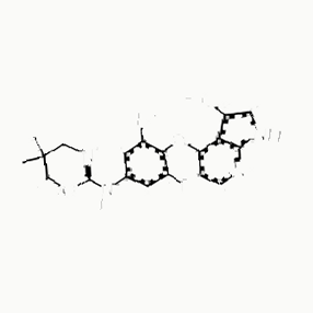 CC1(C)CN=C(Nc2cc(F)c(Oc3ccnc4[nH]cc(C(F)(F)F)c34)c(F)c2)OC1